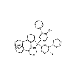 Oc1ccc(C2(c3ccc(O)c(-c4ccccc4)c3)c3cccc(-c4ccccc4)c3-c3c(-c4ccccc4)cccc32)cc1-c1ccccc1